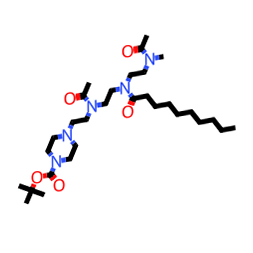 CCCCCCCCCC(=O)N(CCN(C)C(C)=O)CCN(CCN1CCN(C(=O)OC(C)(C)C)CC1)C(C)=O